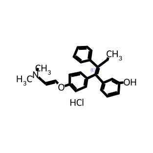 CC/C(=C(/c1ccc(OC=CN(C)C)cc1)c1cccc(O)c1)c1ccccc1.Cl